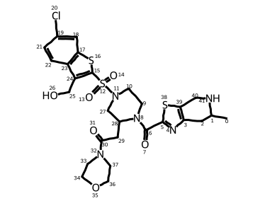 CC1Cc2nc(C(=O)N3CCN(S(=O)(=O)c4sc5cc(Cl)ccc5c4CO)CC3CC(=O)N3CCOCC3)sc2CN1